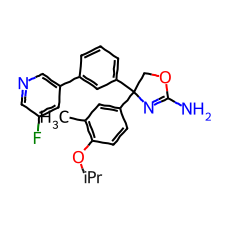 Cc1cc(C2(c3cccc(-c4cncc(F)c4)c3)COC(N)=N2)ccc1OC(C)C